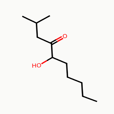 CCCCCC(O)C(=O)CC(C)C